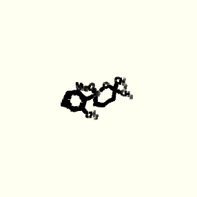 CO[Si]1(c2ccccc2C)CCCC(C)(C)O1